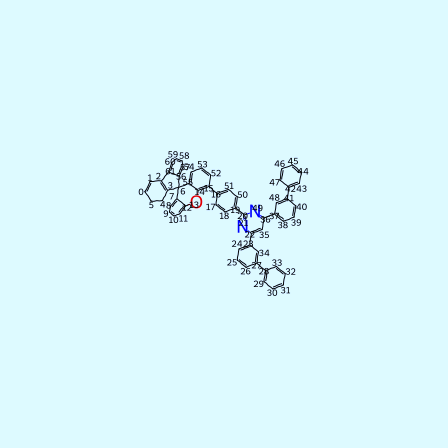 C1=CC2=C(CC1)C1(c3ccccc3Oc3c(-c4ccc(-c5nc(-c6cccc(-c7ccccc7)c6)cc(-c6cccc(-c7ccccc7)c6)n5)cc4)cccc31)c1ccccc12